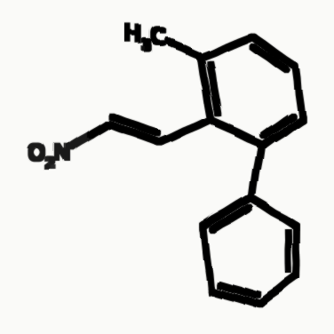 Cc1cccc(-c2ccccc2)c1C=C[N+](=O)[O-]